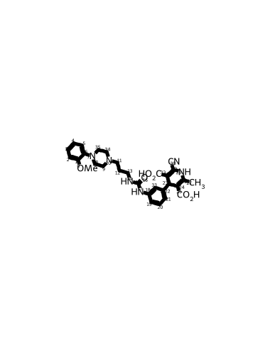 COc1ccccc1N1CCN(CCCNC(=O)Nc2cccc(C3C(C(=O)O)=C(C)NC(C#N)=C3C(=O)O)c2)CC1